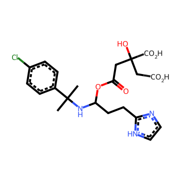 CC(C)(NC(CCc1ncc[nH]1)OC(=O)CC(O)(CC(=O)O)C(=O)O)c1ccc(Cl)cc1